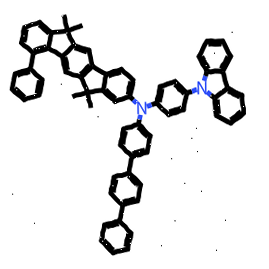 CC1(C)c2cc(N(c3ccc(-c4ccc(-c5ccccc5)cc4)cc3)c3ccc(-n4c5ccccc5c5ccccc54)cc3)ccc2-c2cc3c(cc21)-c1c(-c2ccccc2)cccc1C3(C)C